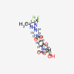 Cc1cc(C(F)(F)F)nc(N2CCN(S(=O)(=O)c3ccc4c(c3)OC[C@@H]3[C@H](CO)OC(=O)N43)CC2)n1